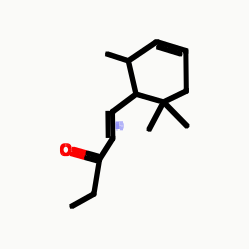 CCC(=O)/C=C/C1C(C)C=CCC1(C)C